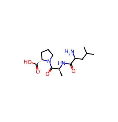 CC(C)C[C@H](N)C(=O)N[C@@H](C)C(=O)N1CCC[C@H]1C(=O)O